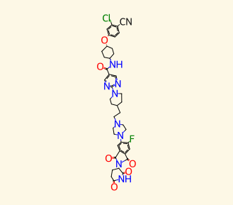 N#Cc1ccc(O[C@H]2CC[C@H](NC(=O)c3cnc(N4CCC(CCN5CCN(c6cc7c(cc6F)C(=O)N(C6CCC(=O)NC6=O)C7=O)CC5)CC4)nc3)CC2)cc1Cl